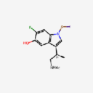 CC(=O)NC[C@H](C)c1cn(SI)c2cc(F)c(O)cc12